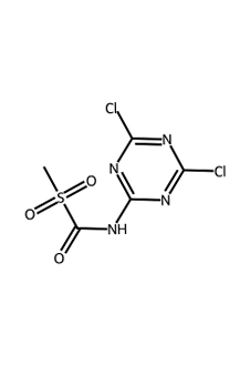 CS(=O)(=O)C(=O)Nc1nc(Cl)nc(Cl)n1